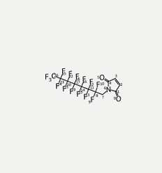 O=C1C=CC(=O)N1CC(F)(F)C(F)(F)C(F)(F)C(F)(F)C(F)(F)C(F)(F)C(F)(F)F